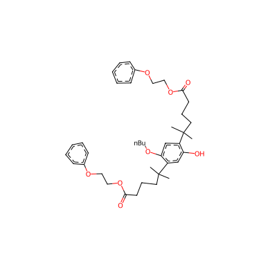 CCCCOc1cc(C(C)(C)CCCC(=O)OCCOc2ccccc2)c(O)cc1C(C)(C)CCCC(=O)OCCOc1ccccc1